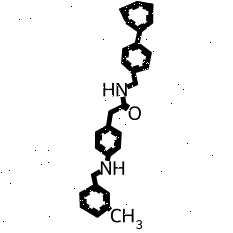 Cc1cccc(CNc2ccc(CC(=O)NCc3ccc(-c4ccccc4)cc3)cc2)c1